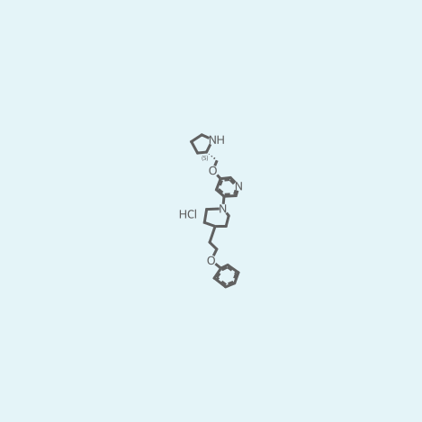 Cl.c1ccc(OCCC2CCN(c3cncc(OC[C@@H]4CCCN4)c3)CC2)cc1